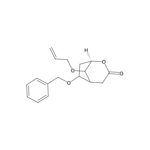 C=CCOC1C2CC(=O)O[C@@H]1CC2OCc1ccccc1